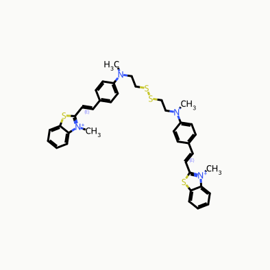 CN(CCSSCCN(C)c1ccc(/C=C/c2sc3ccccc3[n+]2C)cc1)c1ccc(/C=C/c2sc3ccccc3[n+]2C)cc1